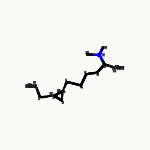 CCCCCCCCCCC[C@H]1C[C@H]1CCCCC(CCCCCCCCC)N(C)C